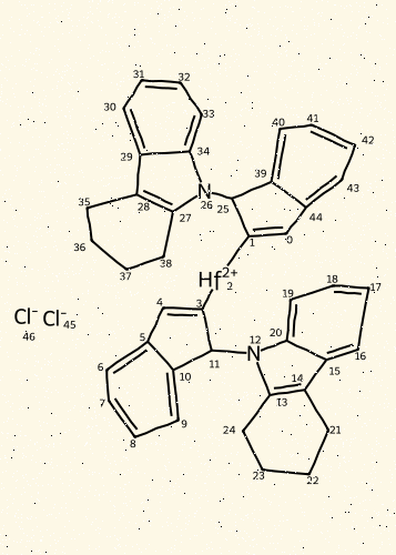 C1=[C]([Hf+2][C]2=Cc3ccccc3C2n2c3c(c4ccccc42)CCCC3)C(n2c3c(c4ccccc42)CCCC3)c2ccccc21.[Cl-].[Cl-]